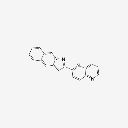 c1ccc2cn3nc(-c4ccc5ncccc5n4)cc3cc2c1